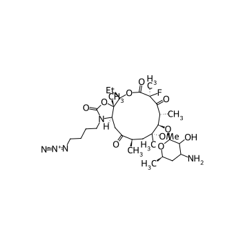 CC[C@H]1OC(=O)[C@@](C)(F)C(=O)[C@H](C)[C@@H](O[C@@H]2O[C@H](C)CC(N)C2O)[C@](C)(OC)C[C@@H](C)C(=O)C[C@H]2N(CCCCN=[N+]=[N-])C(=O)O[C@]12C